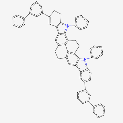 C1=C(c2cccc(-c3ccccc3)c2)CCc2c1c1cc3c4c(c1n2-c1ccccc1)CCc1c-4c(cc2c4cc(-c5cccc(-c6ccccc6)c5)ccc4n(-c4ccccc4)c12)CC3